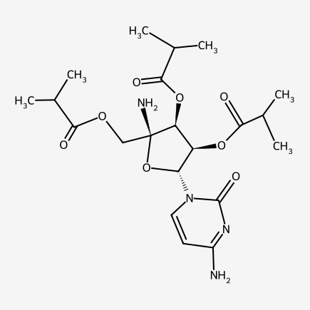 CC(C)C(=O)OC[C@@]1(N)O[C@@H](n2ccc(N)nc2=O)[C@H](OC(=O)C(C)C)[C@@H]1OC(=O)C(C)C